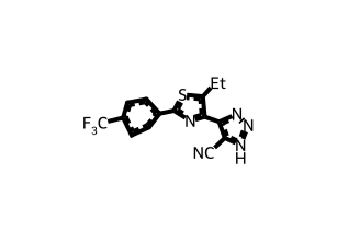 CCc1sc(-c2ccc(C(F)(F)F)cc2)nc1-c1nn[nH]c1C#N